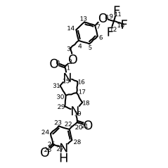 O=C(OCc1ccc(OC(F)(F)F)cc1)N1CC2CN(C(=O)c3ccc(=O)[nH]c3)CC2C1